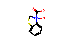 O=C([O-])[N+]1(O)CSc2ccccc21